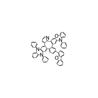 c1ccc(-n2c3ccccc3oc3cc4c(cc32)c2cc(-c3cccc5c3oc3ccccc35)ccc2c2cc3c(cc2c2cccnc24)n(-c2ccccc2)c2ccccc2n3-c2ccccc2)cc1